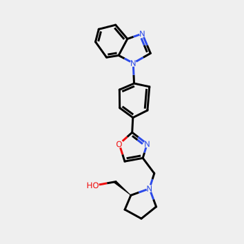 OC[C@@H]1CCCN1Cc1coc(-c2ccc(-n3cnc4ccccc43)cc2)n1